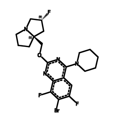 Fc1cc2c(N3CCCCC3)nc(OC[C@@]34CCCN3C[C@H](F)C4)nc2c(F)c1Br